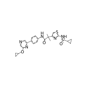 CC(C)(C(=O)Nc1ccc(-c2cncc(OC3CC3)n2)cc1)c1csc(N[S+]([O-])C2CC2)n1